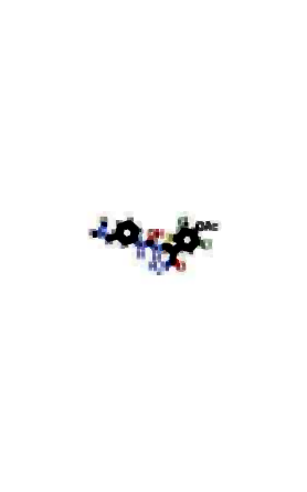 CC(=O)Oc1c(Cl)cc2c(C(N)=O)c(NC(O)Nc3cccc(CN(C)C)c3)sc2c1Cl